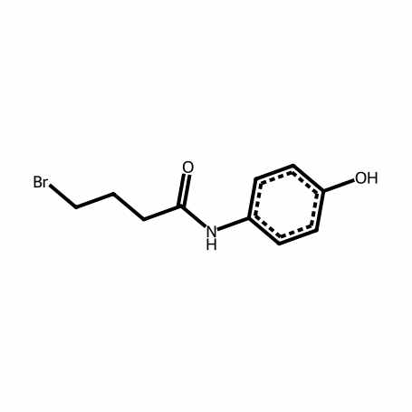 O=C(CCCBr)Nc1ccc(O)cc1